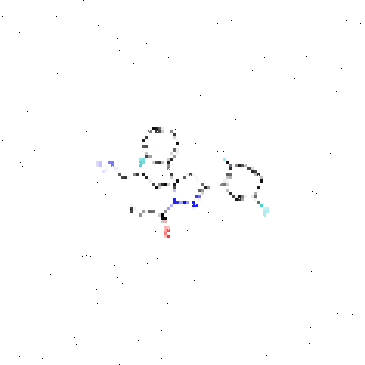 CC(=O)N1N=C(c2cc(F)ccc2F)C[C@@]1(CC(F)CN)c1ccccc1